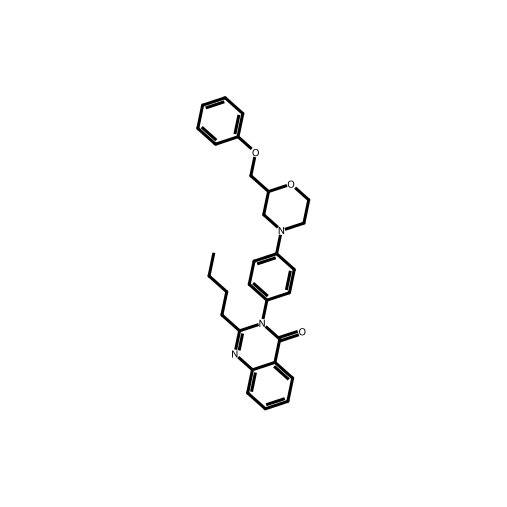 CCCCc1nc2ccccc2c(=O)n1-c1ccc(N2CCOC(COc3ccccc3)C2)cc1